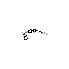 C=CCOCc1ccc(-c2ccc(CN3CC4(CCCCC4)OC3=O)cc2)cc1